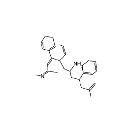 C=C(C)CC(CC(N)CC(/C=C\C)/C(=C\C(C)=N/C)C1=CCCC=C1)C1=CC=CCC1